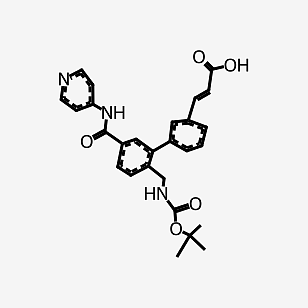 CC(C)(C)OC(=O)NCc1ccc(C(=O)Nc2ccncc2)cc1-c1cccc(C=CC(=O)O)c1